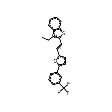 CC[n+]1c(/C=C/c2ccc(-c3cccc(C(F)(F)F)c3)o2)sc2ccccc21